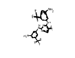 Nc1cc(Nc2ncc(F)c(Nc3cc(N)cc(C(F)(F)F)c3)n2)cc(C(F)(F)F)c1